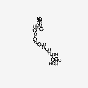 O=C(NC(c1ccccc1)c1cccc(OCC2CCN(Cc3ccc(C(=O)OCCCCNC[C@@H](O)c4ccc(O)c5[nH]c(=O)ccc45)cc3)CC2)c1)O[C@H]1CN2CCC1CC2